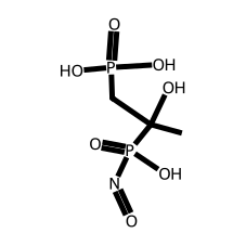 CC(O)(CP(=O)(O)O)P(=O)(O)N=O